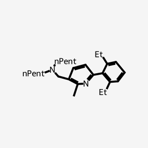 CCCCCN(CCCCC)Cc1ccc(-c2c(CC)cccc2CC)nc1C